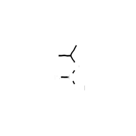 CC(C)OP(O)S